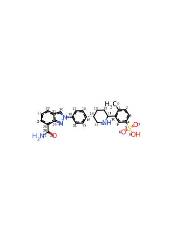 Cc1ccc(S(=O)(=O)O)cc1C1CC[C@@H](c2ccc(-n3cc4cccc(C(N)=O)c4n3)cc2)CN1